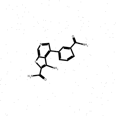 NC(=O)c1cccc(-c2cncc3sc(C(N)=O)c(N)c23)c1